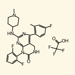 Cc1cc(F)ccc1-c1nc(NC2CCN(C)CC2)nc2c1CNC(=O)N2c1c(F)cccc1F.O=C(O)C(F)(F)F